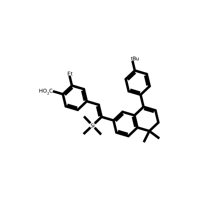 CCc1cc(C=C(c2ccc3c(c2)C(c2ccc(C(C)(C)C)cc2)=CCC3(C)C)[Si](C)(C)C)ccc1C(=O)O